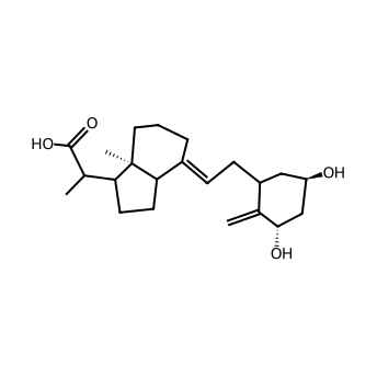 C=C1C(C/C=C2\CCC[C@@]3(C)C2CCC3C(C)C(=O)O)C[C@@H](O)C[C@@H]1O